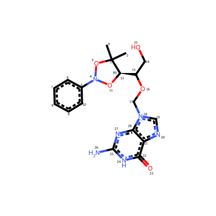 CC1(C)ON(c2ccccc2)O[C@@H]1C(CO)OCn1cnc2c(=O)[nH]c(N)nc21